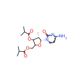 CC(C)C(=O)OCC1O[C@@H](n2ccc(N)nc2=O)[C@@H](C)C1OC(=O)C(C)C